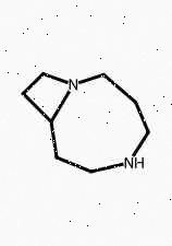 C1CNCCC2CCN2C1